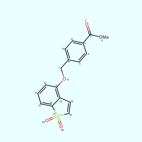 COC(=O)c1ccc(COc2cccc3c2C=CS3(=O)=O)cc1